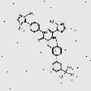 Cc1ncn(C)c1-c1ccc(NC(=O)[C@H](Cc2cc(-c3cccc(C(C)(C)O)c3)ccc2Cl)NC(=O)c2ccnn2C)cc1